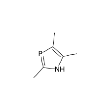 Cc1[nH]c(C)c(C)p1